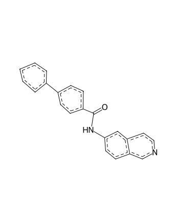 O=C(Nc1ccc2cnccc2c1)c1ccc(-c2ccccc2)cc1